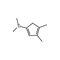 CC1=C(C)C[C]([Ti]([CH3])[CH3])=C1